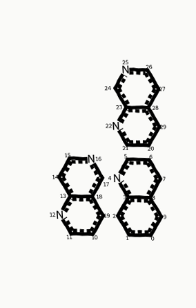 c1ccc2ncccc2c1.c1cnc2ccncc2c1.c1cnc2cnccc2c1